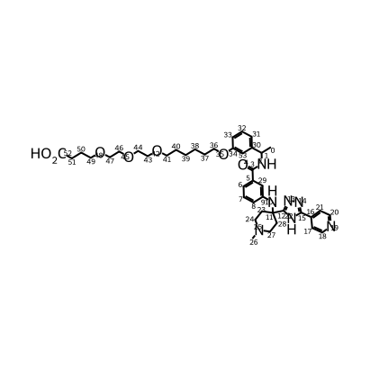 CC(NC(=O)c1cccc(NC2(c3nnc(-c4ccncc4)[nH]3)CCN(C)CC2)c1)c1cccc(OCCCCCCOCCOCCOCCCC(=O)O)c1